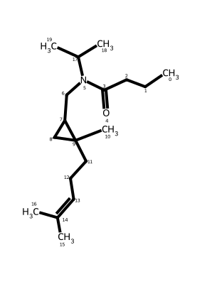 CCCC(=O)N(CC1CC1(C)CCC=C(C)C)C(C)C